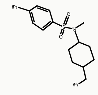 CC(C)CC1CCC(N(C)S(=O)(=O)c2ccc(C(C)C)cc2)CC1